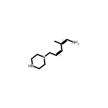 CC(/C=C\CN1CCNCC1)=C/N